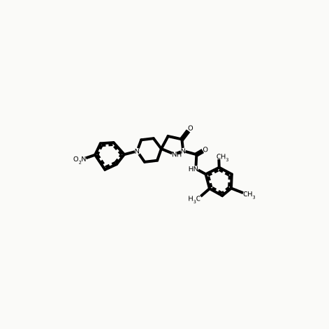 Cc1cc(C)c(NC(=O)N2NC3(CCN(c4ccc([N+](=O)[O-])cc4)CC3)CC2=O)c(C)c1